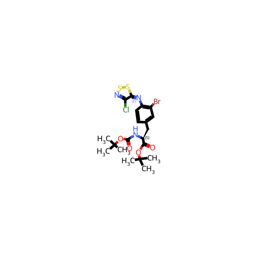 CC(C)(C)OC(=O)N[C@@H](Cc1ccc(/N=c2/ssnc2Cl)c(Br)c1)C(=O)OC(C)(C)C